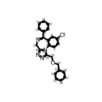 Clc1ccc2c(c1)C(c1ccccc1)=NCc1nnc(COCc3ccccc3)n1-2